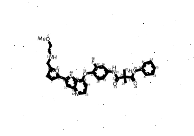 COCCNCc1ccc(-c2cc3nccc(Oc4ccc(NC(=O)C(C)(C)C(=O)Nc5ccccc5)cc4F)c3s2)o1